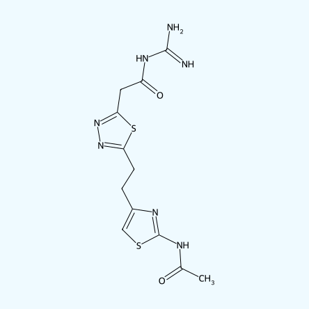 CC(=O)Nc1nc(CCc2nnc(CC(=O)NC(=N)N)s2)cs1